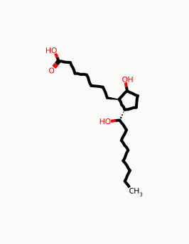 CCCCCCCC(O)[C@H]1CCC(O)[C@@H]1CCCCCCC(=O)O